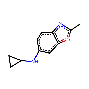 Cc1nc2ccc(NC3CC3)cc2o1